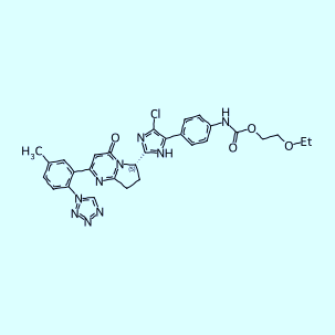 CCOCCOC(=O)Nc1ccc(-c2[nH]c([C@@H]3CCc4nc(-c5cc(C)ccc5-n5cnnn5)cc(=O)n43)nc2Cl)cc1